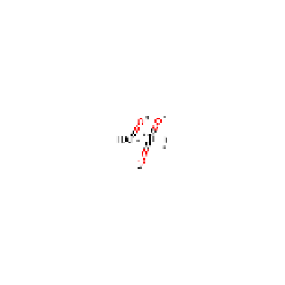 [O]=[AlH].[O]=[Ti]=[O].[Ti]